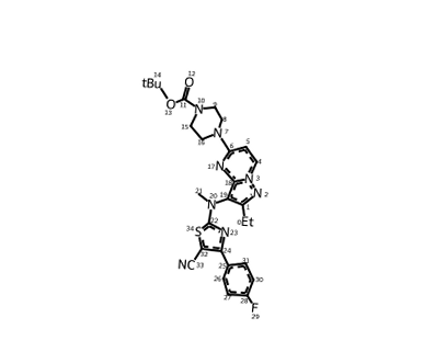 CCc1nn2ccc(N3CCN(C(=O)OC(C)(C)C)CC3)nc2c1N(C)c1nc(-c2ccc(F)cc2)c(C#N)s1